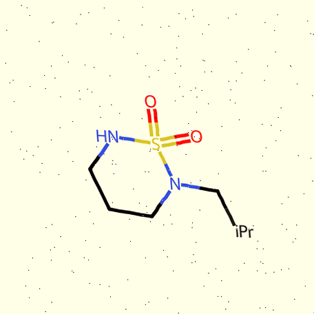 CC(C)CN1CCCNS1(=O)=O